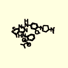 COc1cc(Nc2nc(Nc3ccccc3S(=O)(=O)C(C)C)c3c(C)csc3n2)ccc1N1CCC(N(C)C)CC1